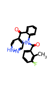 Cc1c(F)cccc1C(=O)Nc1ccccc1C(=O)C1=CC=NNC=C1